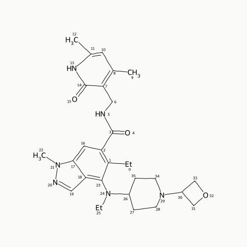 CCc1c(C(=O)NCc2c(C)cc(C)[nH]c2=O)cc2c(cnn2C)c1N(CC)C1CCN(C2COC2)CC1